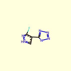 Fc1n[nH]cc1C1=NN=N[N]1